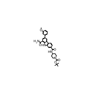 COc1cccc(-c2cc(C(N)=O)c3[nH]c4cc(C(=O)NC5CCN(C(=O)OC(C)(C)C)CC5)ccc4c3c2)c1